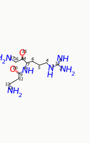 N=C(N)NCCCC(NC(=O)CCN)C(=O)CN